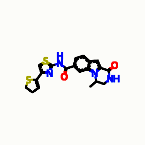 CC1CNC(=O)c2cc3ccc(C(=O)Nc4nc(C5=CCCS5)cs4)cc3n21